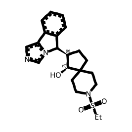 CCS(=O)(=O)N1CCC2(CC[C@H](C3c4ccccc4-c4cncn43)[C@@H]2O)CC1